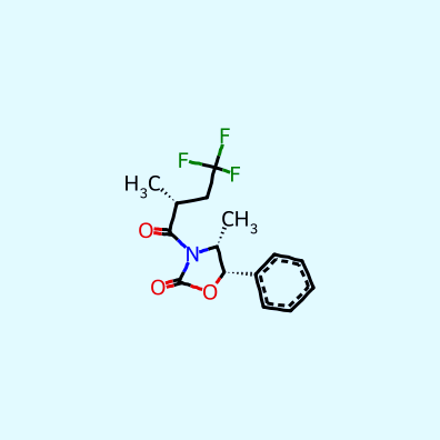 C[C@H](CC(F)(F)F)C(=O)N1C(=O)O[C@@H](c2ccccc2)[C@H]1C